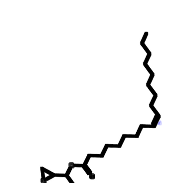 CCCCCCCC/C=C\CCCCCCCC(=O)OC(C)C1CO1